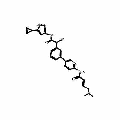 CC(C)C(C(=O)Nc1cc(C2CC2)[nH]n1)c1cccc(-c2ccc(NC(=O)C=CCN(C)C)nc2)c1